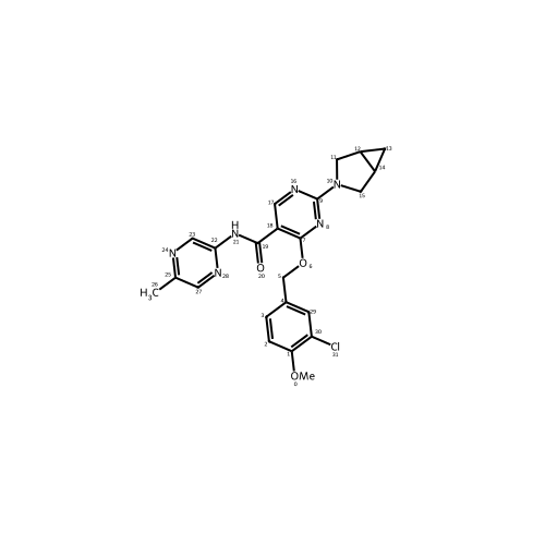 COc1ccc(COc2nc(N3CC4CC4C3)ncc2C(=O)Nc2cnc(C)cn2)cc1Cl